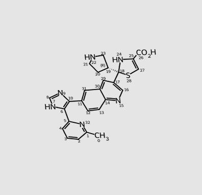 Cc1cccc(-c2[nH]cnc2-c2ccc3ncc(C4([C@@H]5CCNC5)NC(C(=O)O)=CS4)cc3c2)n1